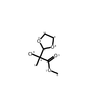 COC(=O)C(C)(Cl)C1OCCO1